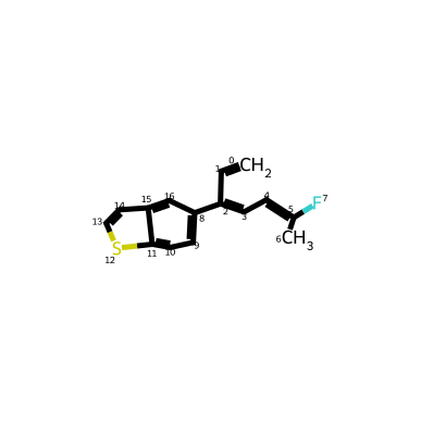 C=C/C(=C\C=C(/C)F)c1ccc2sccc2c1